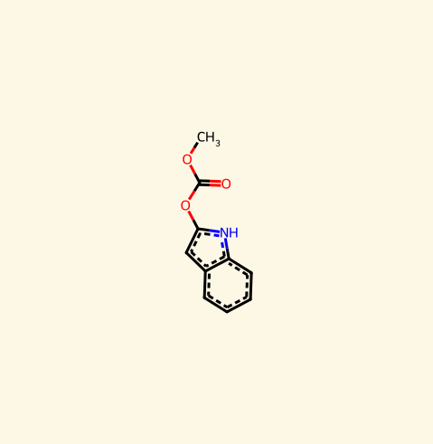 COC(=O)Oc1cc2ccccc2[nH]1